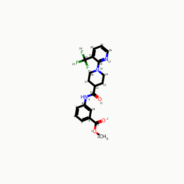 COC(=O)c1cccc(NC(=O)C2CCN(c3ncccc3C(F)(F)F)CC2)c1